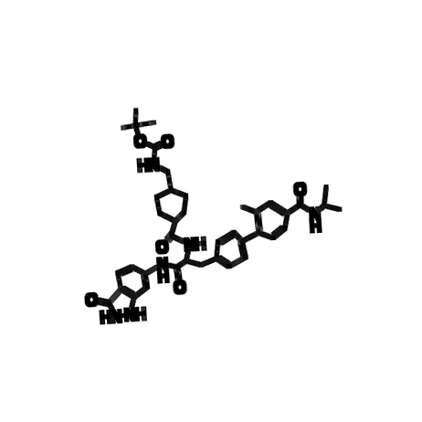 Cc1cc(C(=O)NC(C)C)ccc1-c1ccc(CC(NC(=O)C2CCC(CNC(=O)OC(C)(C)C)CC2)C(=O)Nc2ccc3c(=O)[nH][nH]c3c2)cc1